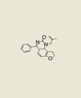 C=C(C)CN1C(=O)N=C(c2ccccc2)C2C=CC3=C(CCO3)C21